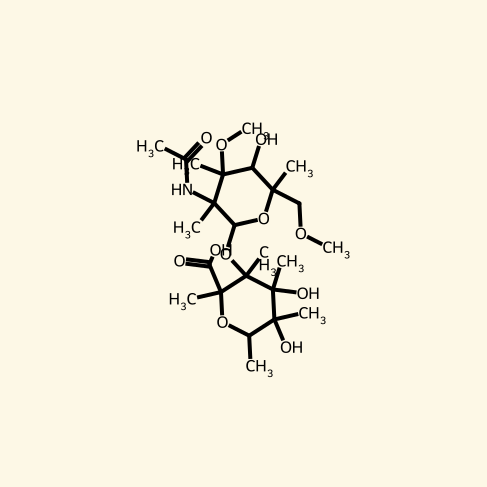 COCC1(C)OC(OC2(C)C(C)(C(=O)O)OC(C)C(C)(O)C2(C)O)C(C)(NC(C)=O)C(C)(OC)C1O